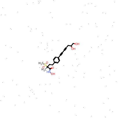 CC(CCc1ccc(C#CC#CCC(O)CO)cc1)(C(=O)NO)S(C)(=O)=O